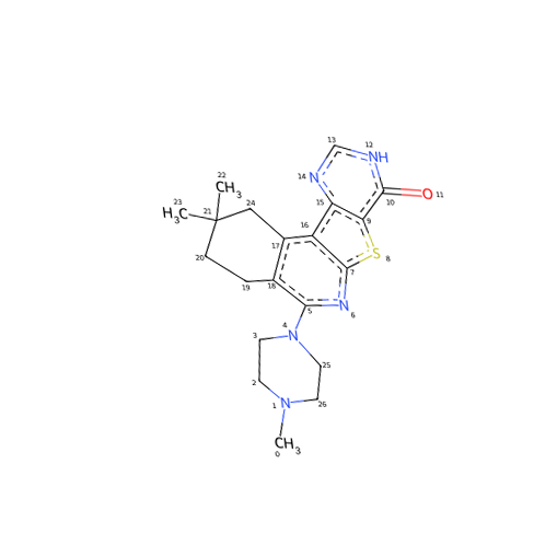 CN1CCN(c2nc3sc4c(=O)[nH]cnc4c3c3c2CCC(C)(C)C3)CC1